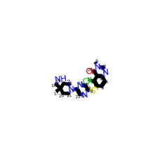 Cn1cnc2ccc(Sc3cnc(N4CCC(C)(CN)CC4)cn3)c(Cl)c2c1=O